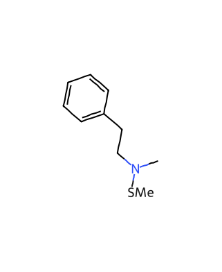 CSN(C)CCc1ccccc1